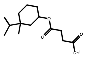 CC(C)C1(C)CCCC(OC(=O)CCC(=O)O)C1